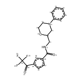 O=C(NCC1CN(c2ccccc2)CCO1)c1ccc(C(=O)C(F)(F)F)s1